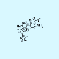 CN(C)C(=O)c1c(N)ccc(-c2cnc3c(c2Cl)C2(CN3)CC(n3cncn3)C2)c1F